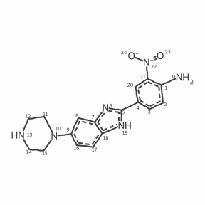 Nc1ccc(-c2nc3cc(N4CCNCC4)ccc3[nH]2)cc1[N+](=O)[O-]